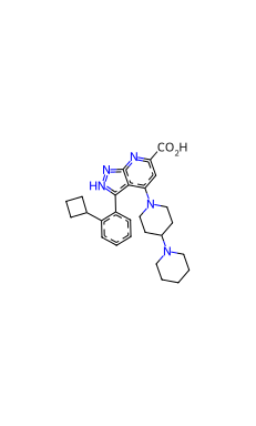 O=C(O)c1cc(N2CCC(N3CCCCC3)CC2)c2c(-c3ccccc3C3CCC3)[nH]nc2n1